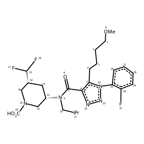 COCCCCc1c(C(=O)N(CC(C)C)[C@H]2C[C@@H](C(F)F)CN(C(=O)O)C2)nnn1-c1ccccc1F